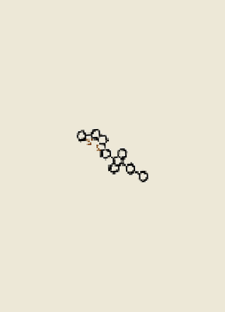 c1ccc(-c2ccc(-c3c4ccccc4c(-c4ccc5sc6c(ccc7ccc8c9ccccc9sc8c76)c5c4)c4ccccc34)cc2)cc1